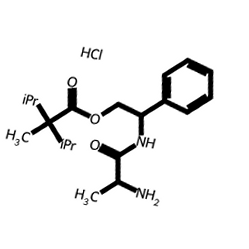 CC(N)C(=O)NC(COC(=O)C(C)(C(C)C)C(C)C)c1ccccc1.Cl